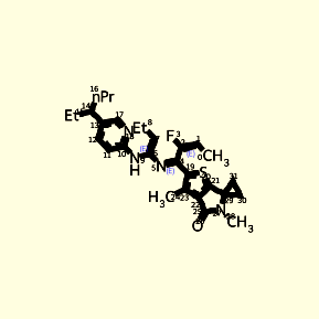 C\C=C(F)/C(=N\C(=C\CC)Nc1ccc(C(CC)CCC)cn1)c1sc2c(c1C)C(=O)N(C)C21CC1